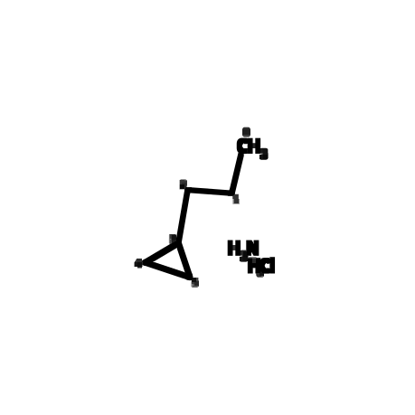 CCCC1CC1.Cl.N